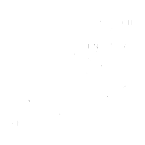 O=C(O)C1(NS(=O)(=O)c2ccc(-c3ccc(Cl)cc3)s2)CC1C1CCC1